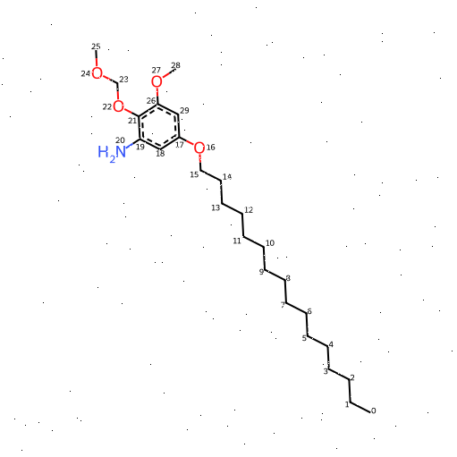 CCCCCCCCCCCCCCCCOc1cc(N)c(OCOC)c(OC)c1